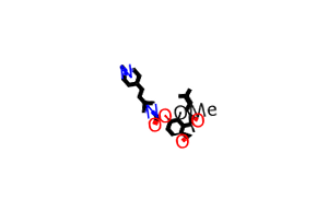 CO[C@H]1C([C@@]2(C)O[C@@H]2CC=C(C)C)[C@]2(CC[C@H]1OC(=O)N1CC(CCC3CCN(C)CC3)C1)CO2